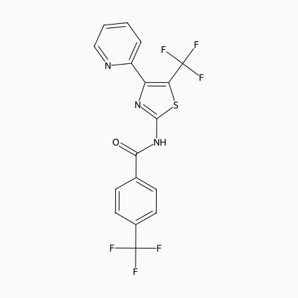 O=C(Nc1nc(-c2ccccn2)c(C(F)(F)F)s1)c1ccc(C(F)(F)F)cc1